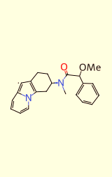 COC(C(=O)N(C)[C@@H]1CCc2[c]c3ccccn3c2C1)c1ccccc1